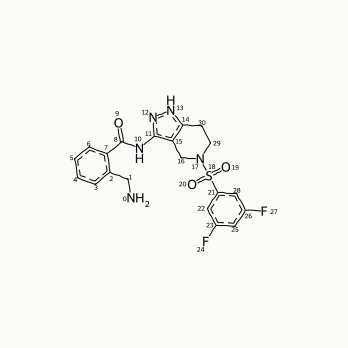 NCc1ccccc1C(=O)Nc1n[nH]c2c1CN(S(=O)(=O)c1cc(F)cc(F)c1)CC2